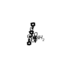 CC(=O)O[C@@]1(N)CN(C(C(=O)OCc2ccccc2)c2ccc(OCc3ccccc3)cc2)C1=O